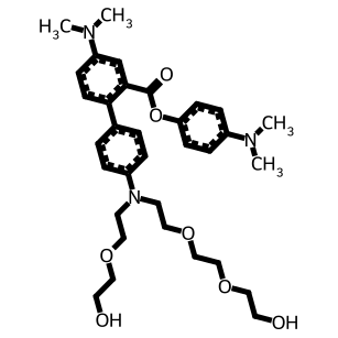 CN(C)c1ccc(OC(=O)c2cc(N(C)C)ccc2-c2ccc(N(CCOCCO)CCOCCOCCO)cc2)cc1